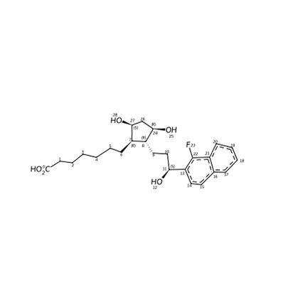 O=C(O)CCCCCC[C@@H]1[C@@H](CC[C@H](O)c2ccc3ccccc3c2F)[C@H](O)C[C@@H]1O